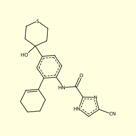 N#Cc1c[nH]c(C(=O)Nc2ccc(C3(O)CCSCC3)cc2C2=CCCCC2)n1